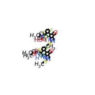 CCSc1ncc2c3c(c(-c4c(F)ccc5sc(N(C(=O)O)C(C)(C)C)cc45)c(Cl)c2n1)COC3.CCSc1ncc2c3c(c(-c4c(F)ccc5sc(NC(=O)OC(C)(C)C)c(C#N)c45)c(Cl)c2n1)COC3